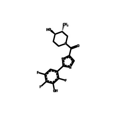 C[C@@H]1CN(C(=O)c2cnc(-c3cc(F)c(F)c(O)c3F)s2)CC[C@H]1O